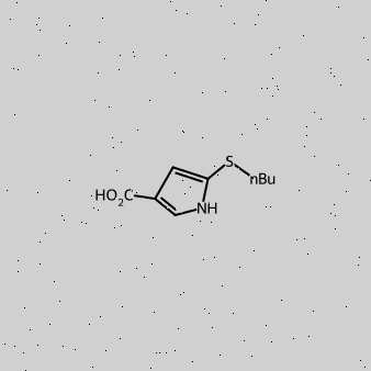 CCCCSc1cc(C(=O)O)c[nH]1